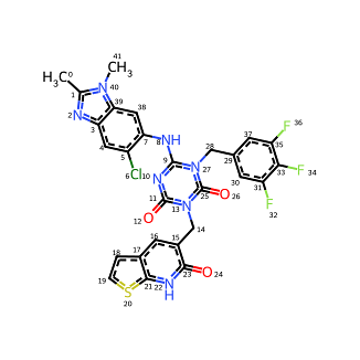 Cc1nc2cc(Cl)c(Nc3nc(=O)n(Cc4cc5ccsc5[nH]c4=O)c(=O)n3Cc3cc(F)c(F)c(F)c3)cc2n1C